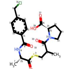 CC(CSC(=O)[C@H](C)NC(=O)c1ccc(CCl)cc1)C(=O)N1CCC[C@H]1C(=O)O